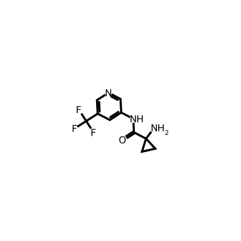 NC1(C(=O)Nc2cncc(C(F)(F)F)c2)CC1